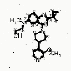 COc1cnccc1C1CCN(c2nc(C3(F)CC3)nc3ccc(N(C)CCO)cc23)CC1